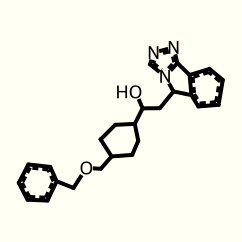 OC(CC1c2ccccc2-c2nncn21)C1CCC(COCc2ccccc2)CC1